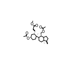 C=C1CCC2[C@H](COC(C)=O)C([C@@]3(C)CC[C@H](OC(C)=O)C[C@@H]3/C=C/C(=O)OC)CC[C@]12C